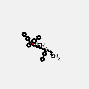 C=C/C=C\C=C\N(CCCCC(=C)/C=C/C=C(\C)C1=C(N(C2=CCCC(c3ccccc3)C=C2)c2ccc(-c3ccccc3)cc2)C=CCC1)c1ccc(-c2ccccc2)cc1